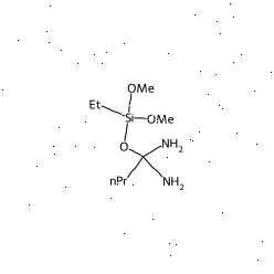 CCCC(N)(N)O[Si](CC)(OC)OC